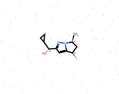 C[C@H]1C[C@@H](F)c2cc([C@H](O)C3CC3)nn21